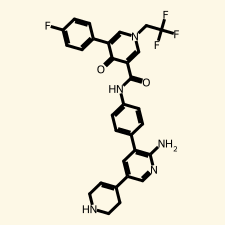 Nc1ncc(C2=CCNCC2)cc1-c1ccc(NC(=O)c2cn(CC(F)(F)F)cc(-c3ccc(F)cc3)c2=O)cc1